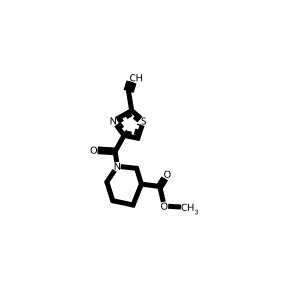 C#Cc1nc(C(=O)N2CCCC(C(=O)OC)C2)cs1